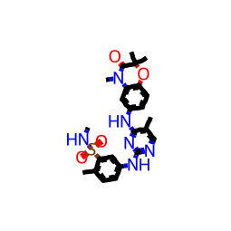 CNS(=O)(=O)c1cc(Nc2ncc(C)c(Nc3ccc4c(c3)N(C)C(=O)C(C)(C)O4)n2)ccc1C